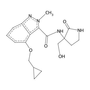 Cn1nc2cccc(OCC3CC3)c2c1C(=O)NC1(CO)CCNC1=O